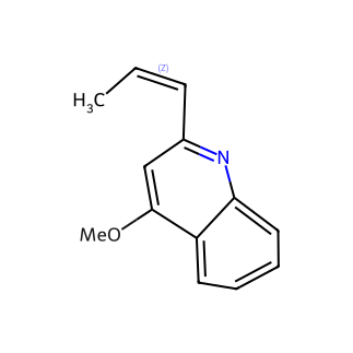 C/C=C\c1cc(OC)c2ccccc2n1